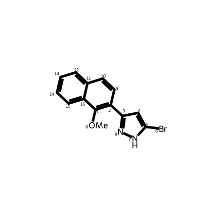 COc1c(-c2cc(Br)[nH]n2)ccc2ccccc12